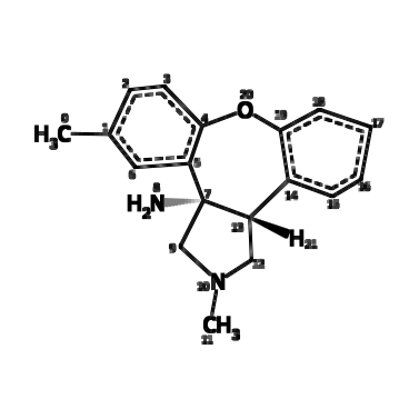 Cc1ccc2c(c1)[C@]1(N)CN(C)C[C@H]1c1ccccc1O2